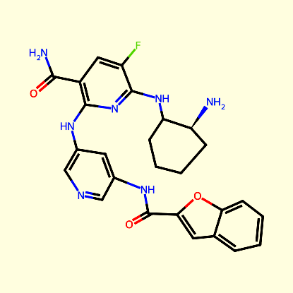 NC(=O)c1cc(F)c(NC2CCCC[C@@H]2N)nc1Nc1cncc(NC(=O)c2cc3ccccc3o2)c1